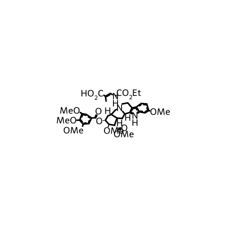 CCOC(=O)NC=C(C)C(=O)O.COC(=O)[C@H]1[C@H]2C[C@@H]3c4[nH]c5cc(OC)ccc5c4CCN3C[C@H]2C[C@@H](OC(=O)c2cc(OC)c(OC)c(OC)c2)[C@@H]1OC